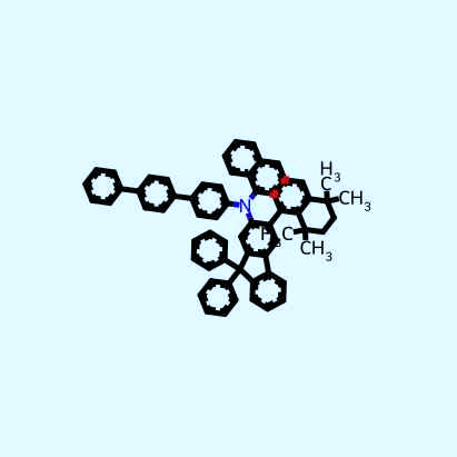 CC1(C)CCC(C)(C)c2c(-c3cc4c(cc3N(c3ccc(-c5ccc(-c6ccccc6)cc5)cc3)c3cccc5ccccc35)C(c3ccccc3)(c3ccccc3)c3ccccc3-4)cccc21